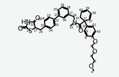 COCCOCOc1ccc(C2(C(=O)N(C)Cc3cccc(-c4ccc(CC5SC(=O)NC5=O)cc4)c3)C=CC=CC2)cc1